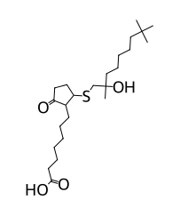 CC(C)(C)CCCCCC(C)(O)CSC1CCC(=O)C1CCCCCCC(=O)O